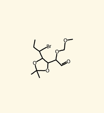 CCC(Br)C1OC(C)(C)OC1C(C=O)OCOC